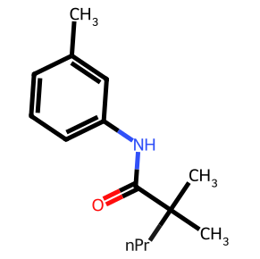 CCCC(C)(C)C(=O)Nc1cccc(C)c1